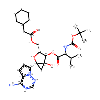 CC(C)[C@H](NC(=O)OC(C)(C)C)C(=O)O[C@@H]1[C@@H](COC(=O)CC2CCCCC2)O[C@]2(c3ccc4c(N)ncnn34)C[C@@]12O